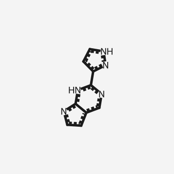 c1cc2cnc(-c3cc[nH]n3)[nH]c-2n1